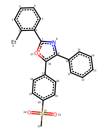 CCc1ccccc1-c1nc(-c2ccccc2)c(-c2ccc(S(C)(=O)=O)cc2)o1